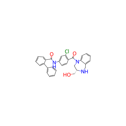 O=C(Nc1ccc(C(=O)N2C[C@@H](CO)NCc3ccccc32)c(Cl)c1)c1ccccc1-c1ccccc1